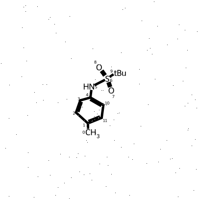 Cc1ccc(NS(=O)(=O)C(C)(C)C)cc1